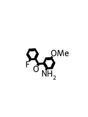 COc1ccc(N)c(C(=O)c2ccccc2F)c1